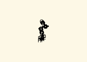 Cc1ccc(CN2CC3(CCN(C(=O)OC(C(F)(F)F)C(F)(F)F)CC3)CC2(C)C)c(N2CCOCC2)c1